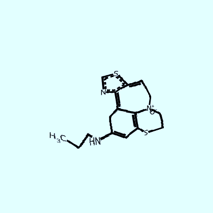 CCCNC1=CC2=C3C(=c4ncsc4=CC[N+]3([O-])CCS2)C1